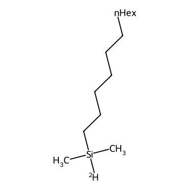 [2H][Si](C)(C)CCCCCCCCCCCC